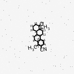 Cc1c(C#N)ccc2c1CCC1C2CC[C@]2(C)C(=O)CCCC12